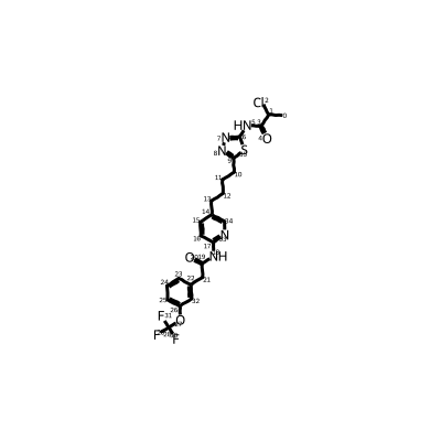 CC(Cl)C(=O)Nc1nnc(CCCCc2ccc(NC(=O)Cc3cccc(OC(F)(F)F)c3)nc2)s1